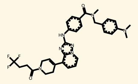 CN(Cc1ccc(N(C)C)cc1)C(=O)c1ccc(Nc2nc3c(C4=CCN(C(=O)CCC(F)(F)F)CC4)cccn3n2)cc1